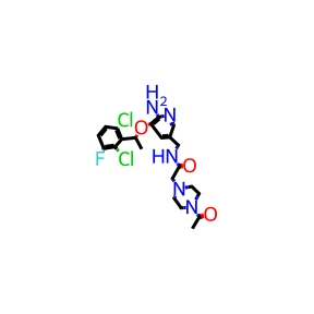 CC(=O)N1CCN(CC(=O)NCc2cnc(N)c(OC(C)c3c(Cl)ccc(F)c3Cl)c2)CC1